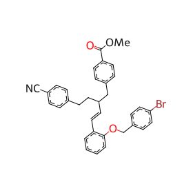 COC(=O)c1ccc(CC(C=Cc2ccccc2OCc2ccc(Br)cc2)CCc2ccc(C#N)cc2)cc1